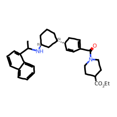 CCOC(=O)C1CCN(C(=O)C2=CCC([C@H]3CCC[C@H](NC(C)c4cccc5ccccc45)C3)C=C2)CC1